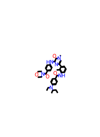 CCC(C)N(CC)c1ccc(C(=O)Nc2cccc(-c3cn(C)c(=O)c(Nc4ccc(C(=O)N5CCOCC5)cc4)n3)c2C)cc1